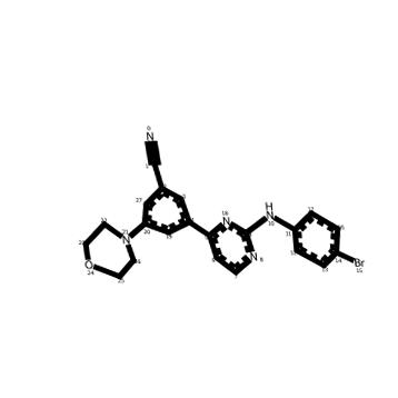 N#Cc1cc(-c2ccnc(Nc3ccc(Br)cc3)n2)cc(N2CCOCC2)c1